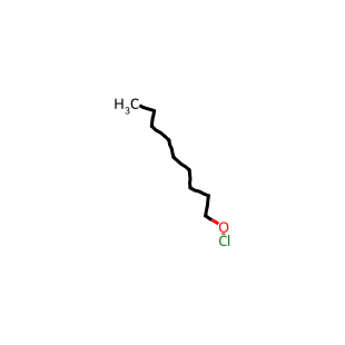 CCCCCCCCCOCl